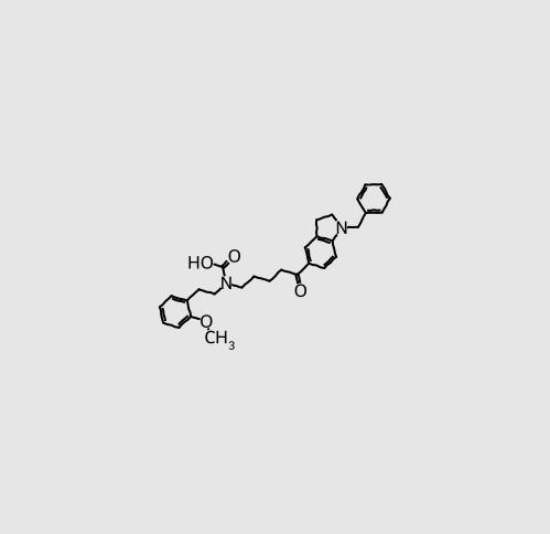 COc1ccccc1CCN(CCCCC(=O)c1ccc2c(c1)CCN2Cc1ccccc1)C(=O)O